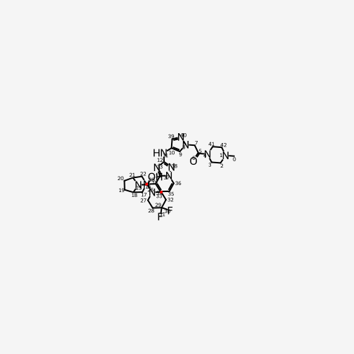 CN1CCN(C(=O)Cn2cc(Nc3nc4c(N5CC6CCC(C5)N6C(O)N5CCC(F)(F)CC5)cccn4n3)cn2)CC1